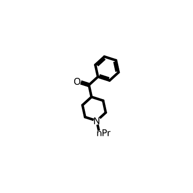 CCCN1CCC(C(=O)c2ccccc2)CC1